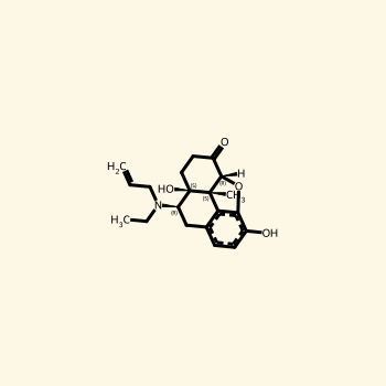 C=CCN(CC)[C@@H]1Cc2ccc(O)c3c2[C@@]2(C)[C@@H](O3)C(=O)CC[C@@]12O